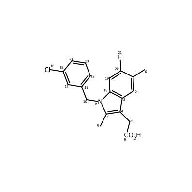 Cc1cc2c(CC(=O)O)c(C)n(Cc3cccc(Cl)c3)c2cc1F